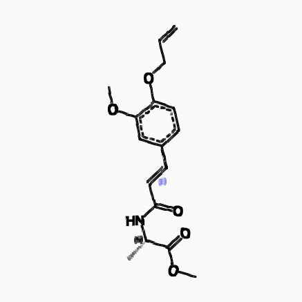 C=CCOc1ccc(/C=C/C(=O)N[C@@H](C)C(=O)OC)cc1OC